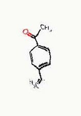 C=[C]c1ccc(C(C)=O)cc1